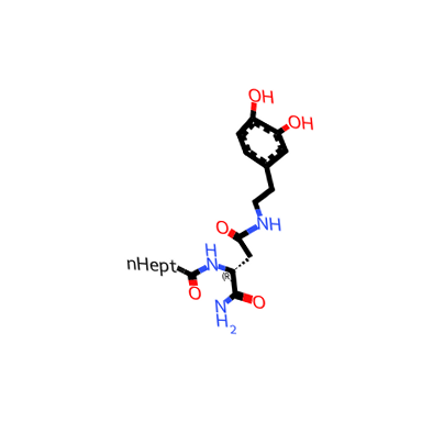 CCCCCCCC(=O)N[C@H](CC(=O)NCCc1ccc(O)c(O)c1)C(N)=O